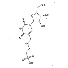 O=c1[nH]c(=S)n(C2OC(CO)C(O)C2O)cc1CNCCS(=O)(=O)O